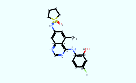 Cc1cc(N=S2(=O)CCCC2)cc2ncnc(Nc3ccc(F)cc3O)c12